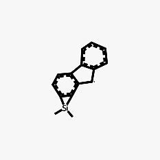 C[Si]1(C)c2ccc3c(c21)[CH]c1ccccc1-3